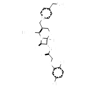 NCc1cc[n+](CC2=C(C(=O)O)N3C(=O)[C@H](NC(=O)CSc4cc(Cl)ccc4Cl)[C@H]3SC2)cc1